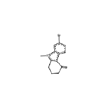 C=C1CCCc2c1c1ccc(Br)cc1n2C